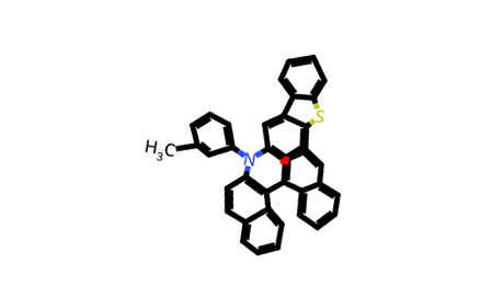 Cc1cccc(N(c2ccc3sc4ccccc4c3c2)c2ccc3ccccc3c2-c2cccc3ccccc23)c1